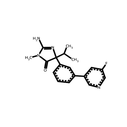 CC(C)C1(c2cccc(-c3cncc(F)c3)c2)N=C(N)N(C)C1=O